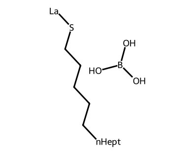 CCCCCCCCCCCC[S][La].OB(O)O